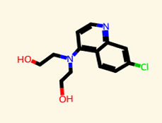 OCCN(CCO)c1ccnc2cc(Cl)ccc12